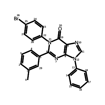 Cc1cccc(-c2nc3c(ncn3-c3ccccc3)c(=O)n2-c2ccc(Br)cc2)c1